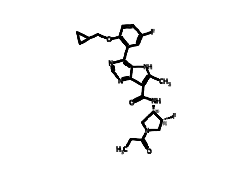 CCC(=O)N1C[C@@H](F)[C@@H](NC(=O)c2c(C)[nH]c3c(-c4cc(F)ccc4OCC4CC4)ncnc23)C1